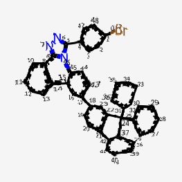 Brc1ccc(-c2nnc3c4ccccc4c4cc(-c5ccc6c(c5)C(c5ccccc5)(c5ccccc5)c5ccccc5-6)ccc4n23)cc1